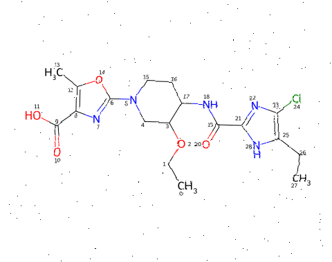 CCOC1CN(c2nc(C(=O)O)c(C)o2)CCC1NC(=O)c1nc(Cl)c(CC)[nH]1